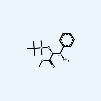 COC(=O)[C@@H](O[Si](C)(C)C(C)(C)C)[C@H](N)c1ccccc1